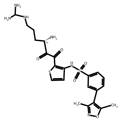 Cc1noc(C)c1-c1cccc(S(=O)(=O)Nc2ccsc2C(=O)C(=O)[C@@H](N)CCCNC(N)N)c1